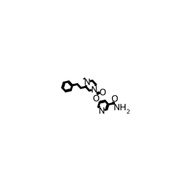 CN1CCN(C(=O)Oc2cncc(C(N)=O)c2)CC1CCc1ccccc1